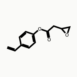 C=Cc1ccc(OC(=O)CC2CO2)cc1